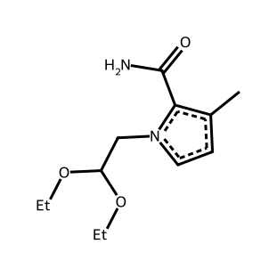 CCOC(Cn1ccc(C)c1C(N)=O)OCC